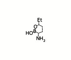 CCC1CCC(N)B(O)O1